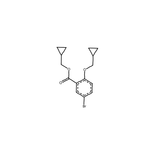 O=C(OCC1CC1)c1cc(Br)ccc1OCC1CC1